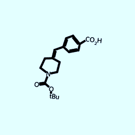 CC(C)(C)OC(=O)N1CCC(=Cc2ccc(C(=O)O)cc2)CC1